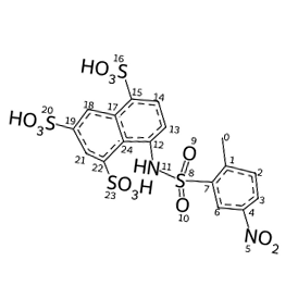 Cc1ccc([N+](=O)[O-])cc1S(=O)(=O)Nc1ccc(S(=O)(=O)O)c2cc(S(=O)(=O)O)cc(S(=O)(=O)O)c12